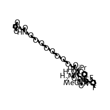 CON(C)C(=O)N1N=C(c2cc(F)ccc2F)S[C@@]1(CCCN(C(=O)[C@@H](NC(=O)CCOCCOCCOCCOCCOCCOCCOCCOCCNC(=O)CCN1C(=O)C=CC1=O)C(C)C)[C@@H](C)C(N)=O)c1ccccc1